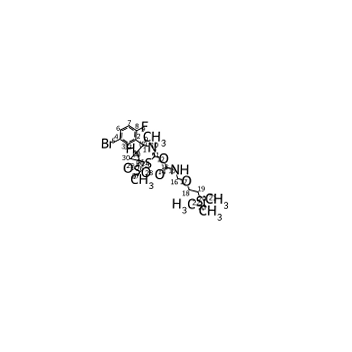 C[C@]1(c2cc(Br)ccc2F)N=C(OC(=O)NCOCC[Si](C)(C)C)S[C@@]2(S(C)(=O)=O)C[C@H]21